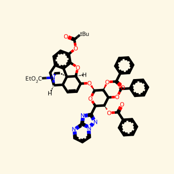 CCOC(=O)N1CC[C@]23c4c5ccc(OC(=O)C(C)(C)C)c4O[C@H]2C(O[C@@H]2OC(c4nc6ncccn6n4)[C@@H](OC(=O)c4ccccc4)C(OC(=O)c4ccccc4)[C@@H]2OC(=O)c2ccccc2)C=CC3[C@H]1C5